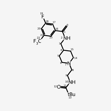 C=C(NCC1CCN(CCNC(=O)C(C)(C)C)CC1)c1cc(F)cc(C(F)(F)F)c1